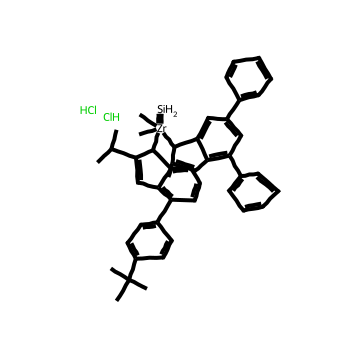 CC1=Cc2c(-c3ccccc3)cc(-c3ccccc3)cc2[CH]1[Zr]([CH3])([CH3])(=[SiH2])[CH]1C(C(C)C)=Cc2c(-c3ccc(C(C)(C)C)cc3)cccc21.Cl.Cl